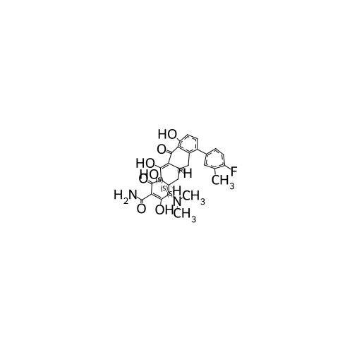 Cc1cc(-c2ccc(O)c3c2C[C@H]2C[C@H]4[C@H](N(C)C)C(O)=C(C(N)=O)C(=O)[C@@]4(O)C(O)=C2C3=O)ccc1F